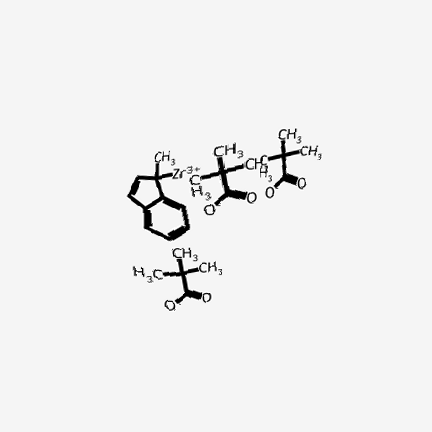 CC(C)(C)C(=O)[O-].CC(C)(C)C(=O)[O-].CC(C)(C)C(=O)[O-].C[C]1([Zr+3])C=Cc2ccccc21